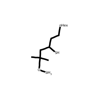 CCCCCCCCC(S)CC(C)(C)O[SiH3]